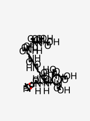 CC(C)(C)[Si](F)(c1ccc(C(=O)NCC[C@H](NC(=O)CN2CCN(CC(=O)O)CCN(CC(=O)O)CCN(CC(=O)O)CC2)C(=O)N[C@@H](CCCCNC(=O)CCC(=O)NCCC[C@H](NC(=O)CC[C@H](NC(=O)N[C@@H](CCC(=O)O)C(=O)O)C(=O)O)C(=O)O)C(=O)O)cc1)C(C)(C)C